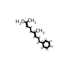 CC(C)=CCC/C(C)=C/CCc1ccccc1